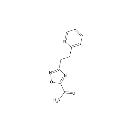 NC(=O)c1nc(CCc2ccccn2)no1